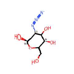 [N-]=[N+]=N[C@H]1C(O)[C@@H](O)C(CO)O[C@H]1O